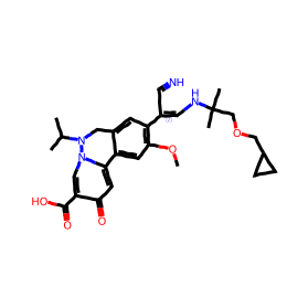 COc1cc2c(cc1/C(C=N)=C/NC(C)(C)COCC1CC1)CN(C(C)C)n1cc(C(=O)O)c(=O)cc1-2